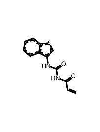 C=CC(=O)NC(=O)Nc1csc2ccccc12